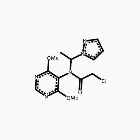 COc1ncnc(OC)c1N(C(=O)CCl)C(C)n1cccn1